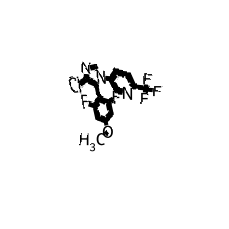 COc1cc(F)c(-c2c(Cl)ncn2-c2ccc(C(F)(F)F)nc2)c(F)c1